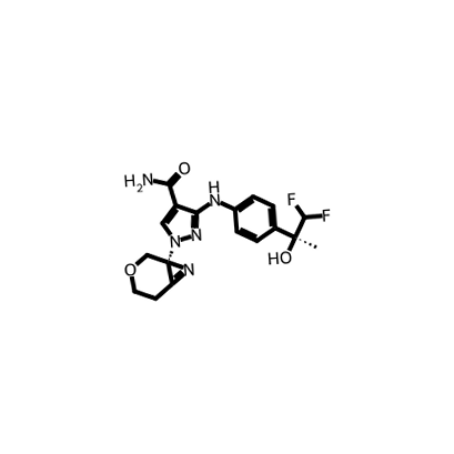 C[C@](O)(c1ccc(Nc2nn([C@@]34COCCC3=N4)cc2C(N)=O)cc1)C(F)F